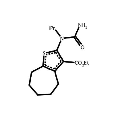 CCOC(=O)c1c(N(C(N)=O)C(C)C)sc2c1CCCCC2